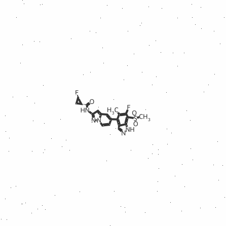 Cc1c(F)c(S(C)(=O)=O)c2[nH]ncc2c1-c1ccn2nc(NC(=O)[C@@H]3C[C@@H]3F)cc2c1